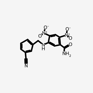 N#Cc1cccc(CNc2cc(C(N)=O)c([N+](=O)[O-])cc2[N+](=O)[O-])c1